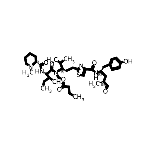 CCCC(=O)OCN(C(=O)[C@@H](NC(=O)[C@H]1CCCCN1C)C(C)CC)[C@H](CCc1nc(C(=O)N[C@@H](Cc2ccc(O)cc2)C[C@H](C)C=O)cs1)C(C)C